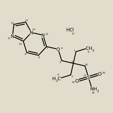 CCC(CC)(COc1ccc2nccn2n1)CS(N)(=O)=O.Cl